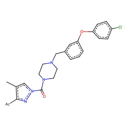 CC(=O)c1nn(C(=O)N2CCN(Cc3cccc(Oc4ccc(Cl)cc4)c3)CC2)cc1C